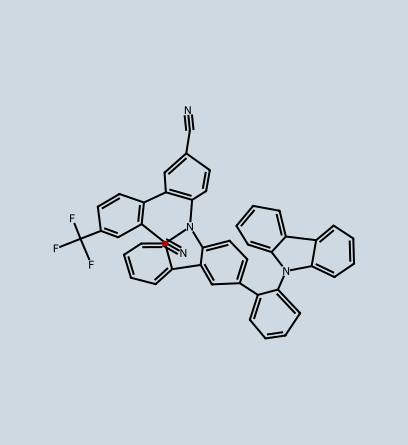 N#Cc1ccc(-n2c3ccccc3c3cc(-c4ccccc4-n4c5ccccc5c5ccccc54)ccc32)c(-c2ccc(C(F)(F)F)cc2C#N)c1